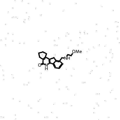 COCCNCc1cccc2c1Cc1c-2[nH]c(=O)c2c1CCCC2